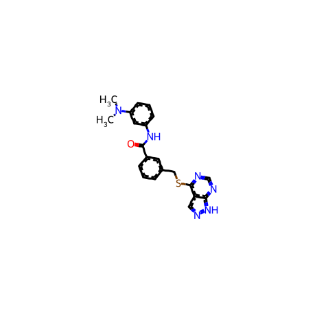 CN(C)c1cccc(NC(=O)c2cccc(CSc3ncnc4[nH]ncc34)c2)c1